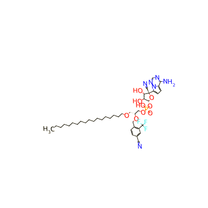 CCCCCCCCCCCCCCCCCCOC[C@H](COP(=O)(O)O[C@H]1O[C@@](C#N)(c2ccc3c(N)ncnn23)[C@H](O)[C@@H]1O)OCc1ccc(C#N)cc1C(F)(F)F